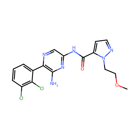 COCCn1nccc1C(=O)Nc1cnc(-c2cccc(Cl)c2Cl)c(N)n1